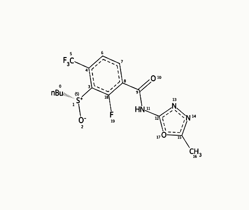 CCCC[S@@+]([O-])c1c(C(F)(F)F)ccc(C(=O)Nc2nnc(C)o2)c1F